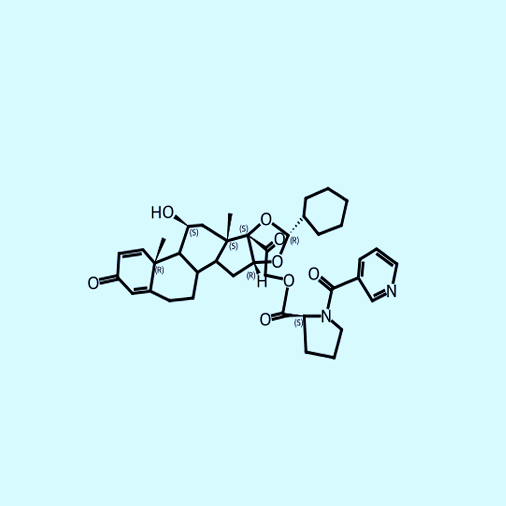 C[C@]12C=CC(=O)C=C1CCC1C2[C@@H](O)C[C@@]2(C)C1C[C@H]1O[C@@H](C3CCCCC3)O[C@]12C(=O)COC(=O)[C@@H]1CCCN1C(=O)c1cccnc1